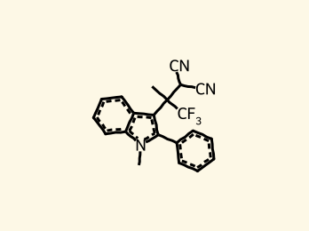 Cn1c(-c2ccccc2)c(C(C)(C(C#N)C#N)C(F)(F)F)c2ccccc21